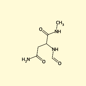 CNC(=O)C(CC(N)=O)NC=O